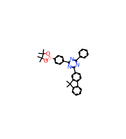 CC1(C)c2ccccc2-c2ccc(-c3nc(-c4ccccc4)nc(-c4ccc(B5OC(C)(C)C(C)(C)O5)cc4)n3)cc21